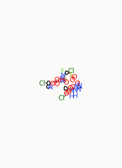 COC(=O)CSc1cc(/N=c2\sc(=O)n3n2CCCC3)c(F)cc1Cl.COc1nc(C)nc(NC(=O)NS(=O)(=O)c2ccccc2OCCCl)n1.O=C(O)COc1ccc(Cl)c2cccnc12